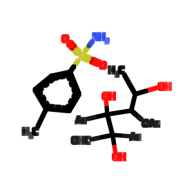 CC(=O)OC(C(C)O)C(O)(C(C)=O)C(O)(C=O)C(C)=O.Cc1ccc(S(N)(=O)=O)cc1